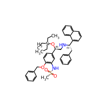 CC[Si](CC)(CC)O[C@@H](CN[C@@H](Cc1ccccc1)c1cccc2ccccc12)c1ccc(OCc2ccccc2)c(NS(C)(=O)=O)c1